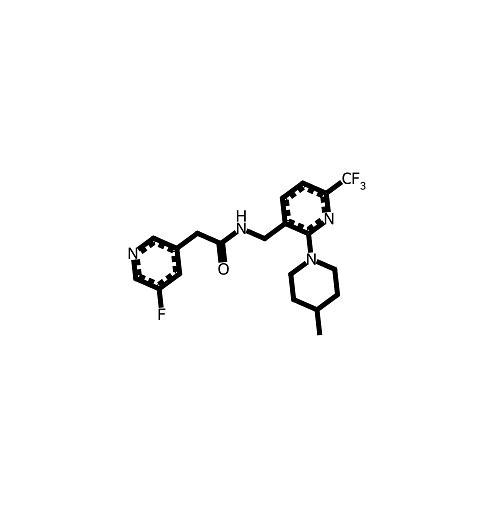 CC1CCN(c2nc(C(F)(F)F)ccc2CNC(=O)Cc2cncc(F)c2)CC1